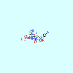 N#Cc1ccc(C=CC2(C(=O)O)CS[C@@H]3C(NC(=O)C(=NOCC(=O)O)c4csc(N)n4)C(=O)N3C2)cc1